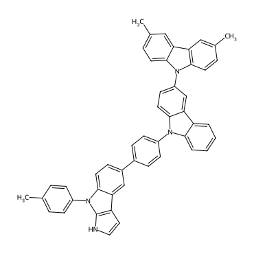 Cc1ccc(-n2c3ccc(-c4ccc(-n5c6ccccc6c6cc(-n7c8ccc(C)cc8c8cc(C)ccc87)ccc65)cc4)cc3c3cc[nH]c32)cc1